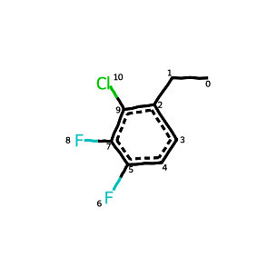 CCc1ccc(F)c(F)c1Cl